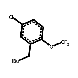 CCC(C)Cc1cc(Cl)ccc1OC(F)(F)F